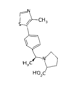 Cc1ncsc1-c1ccc([C@H](C)N2CCCC2C(=O)O)cc1